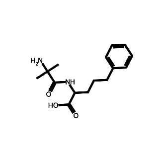 CC(C)(N)C(=O)NC(CCCc1ccccc1)C(=O)O